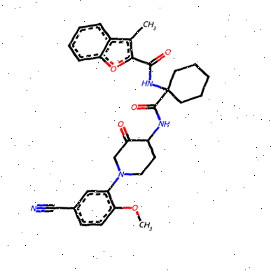 COc1ccc(C#N)cc1N1CCC(NC(=O)C2(NC(=O)c3oc4ccccc4c3C)CCCCC2)C(=O)C1